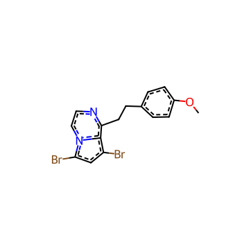 COc1ccc(CCc2nccn3c(Br)cc(Br)c23)cc1